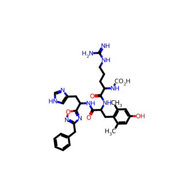 Cc1cc(O)cc(C)c1CC(NC(=O)C(CCCNC(=N)N)NC(=O)O)C(=O)NC(Cc1c[nH]cn1)c1nc(Cc2ccccc2)no1